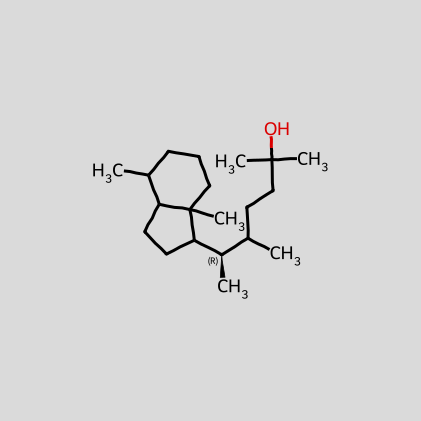 CC1CCCC2(C)C1CCC2[C@H](C)C(C)CCC(C)(C)O